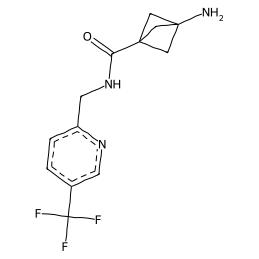 NC12CC(C(=O)NCc3ccc(C(F)(F)F)cn3)(C1)C2